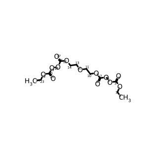 CCOC(=O)OOC(=O)OCCOCCOC(=O)OOC(=O)OCC